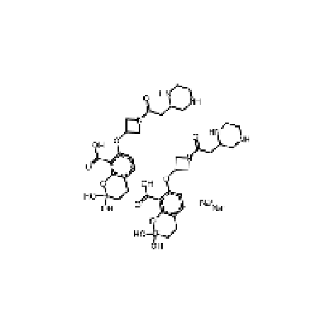 O=C(O)c1c(OC2CN(C(=O)CC3CNCCN3)C2)ccc2c1O[B-](O)(O)CC2.O=C(O)c1c(OC2CN(C(=O)CC3CNCCN3)C2)ccc2c1O[B-](O)(O)CC2.[Na+].[Na+]